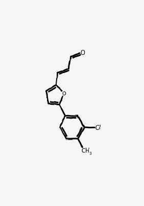 Cc1ccc(-c2ccc(C=CC=O)o2)cc1Cl